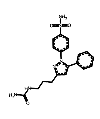 NC(=O)NCCCc1cc(-c2ccccc2)n(-c2ccc(S(N)(=O)=O)cc2)n1